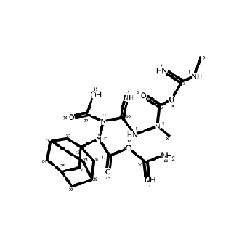 CNC(=N)OC(=O)N(C)NC(=N)N(C(=O)O)N(C(=O)OC(=N)N)C12CC3CC(CC(C3)C1)C2